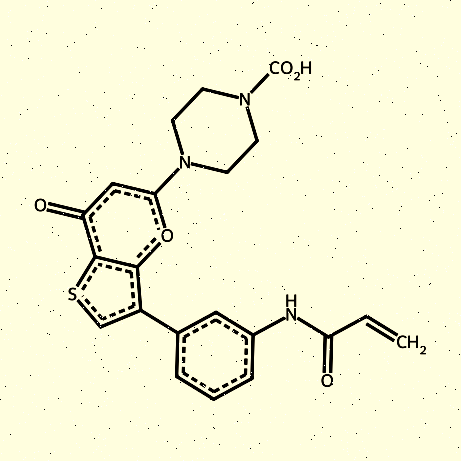 C=CC(=O)Nc1cccc(-c2csc3c(=O)cc(N4CCN(C(=O)O)CC4)oc23)c1